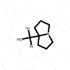 [2H]C([2H])(O)C12CCCN1CCC2